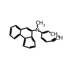 C#C/C=C\C(=C/C)N(C)c1cc2ccccc2c2ccccc12